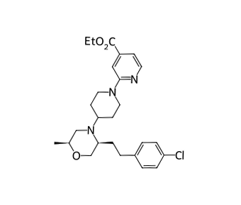 CCOC(=O)c1ccnc(N2CCC(N3C[C@H](C)OC[C@@H]3CCc3ccc(Cl)cc3)CC2)c1